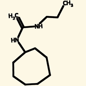 C=C(NCCC)NC1CCCCCCC1